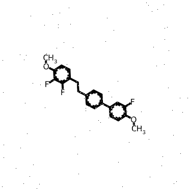 COc1ccc(-c2ccc(CCc3ccc(OC)c(F)c3F)cc2)cc1F